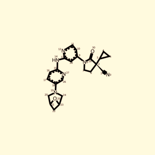 N#C[C@@]1(C2CC2)CCN(c2ccnc(Nc3ccc(N4CC5CC(C4)O5)cn3)c2)C1=O